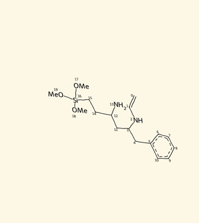 C=CNC(Cc1ccccc1)CC(N)CC[Si](OC)(OC)OC